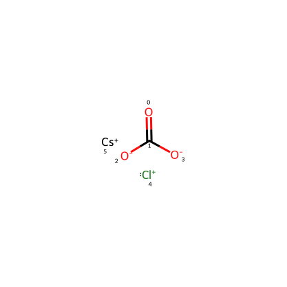 O=C([O-])[O-].[Cl+].[Cs+]